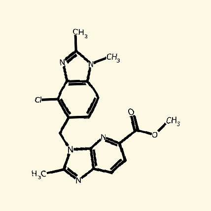 COC(=O)c1ccc2nc(C)n(Cc3ccc4c(nc(C)n4C)c3Cl)c2n1